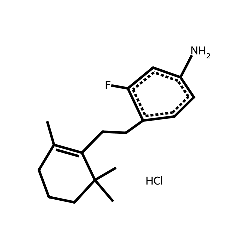 CC1=C(CCc2ccc(N)cc2F)C(C)(C)CCC1.Cl